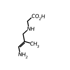 C/C(=C\N)CNCC(=O)O